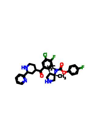 CN(C(=O)Oc1ccc(F)cc1)[C@@]1(C)CNC[C@@H]1c1cc(F)c(Cl)cc1C(=O)C1CCNC(c2ccccn2)C1